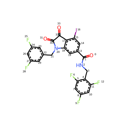 O=C(NCc1c(F)cc(F)cc1F)c1cc(I)c2c(c1)N(Cc1cc(F)cc(F)c1)C(=O)C2=O